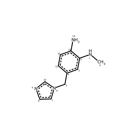 CNc1cc(Cn2ccnc2)ccc1N